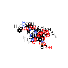 C#CP(=O)(Nc1cc(COC(=O)N(C)[C@@H](C(=O)N[C@@H](C(=O)N(C)[C@H]([C@H](C)CC)[C@H](CC(=O)N2CCC[C@@H]2[C@@H](OC)[C@H](C)C(=O)N[C@@H](C)[C@H](O)c2ccccc2)OC)C(C)C)C(C)C)ccc1O[C@@H]1OC(C(=O)OC)[C@@H](OC(C)=O)[C@H](OC(C)=O)C1OC(C)=O)OCCO